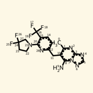 Cc1nc2ncnn2c(N)c1Cc1ccc(C(F)(F)F)c(N2CCC(F)(F)C2)n1